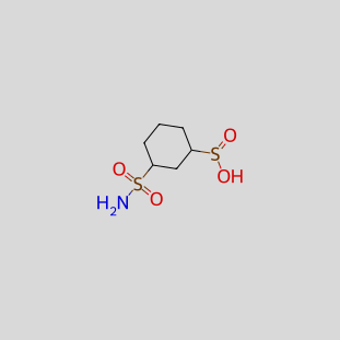 NS(=O)(=O)C1CCCC(S(=O)O)C1